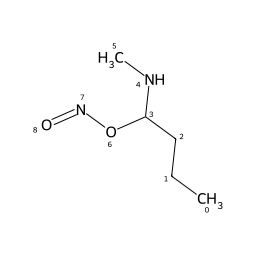 CCCC(NC)ON=O